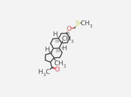 CSCO[C@@H]1CCC2(C)[C@@H](CCC3[C@@H]4CCC(C(C)=O)C4(C)CC[C@@H]32)C1